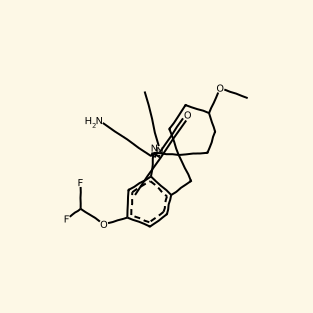 COC1CCC2(CC1)Cc1ccc(OC(F)F)cc1C21N=C(N)N(C)C1=O